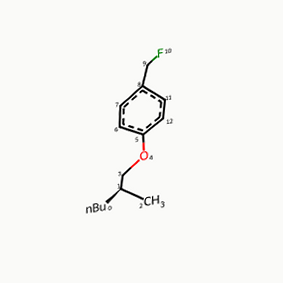 CCCC[C@H](C)COc1ccc(CF)cc1